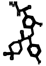 NNC(=O)c1ccc(CN(C(=O)N2CCS(=O)(=O)CC2)c2ccc(F)cc2)c(F)c1